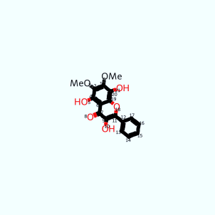 COc1c(OC)c(O)c2c(=O)c(O)c(-c3ccccc3)oc2c1O